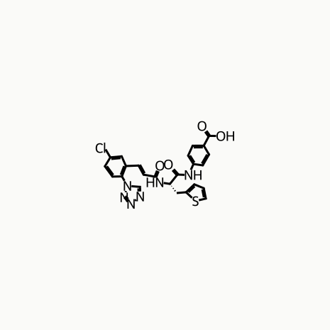 O=C(/C=C/c1cc(Cl)ccc1-n1cnnn1)N[C@@H](Cc1cccs1)C(=O)Nc1ccc(C(=O)O)cc1